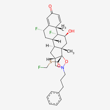 C[C@]12C=CC(=O)C=C1[C@@H](F)C[C@H]1[C@@H]3C[C@H]4CN(CCCc5ccccc5)O[C@@]4(C(=O)SCF)[C@@]3(C)C[C@H](O)[C@@]12F